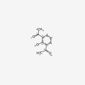 CC(=O)c1cccc(C(C)=O)c1[O]